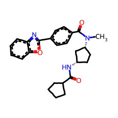 CN(C(=O)c1ccc(-c2nc3ccccc3o2)cc1)[C@@H]1CC[C@H](NC(=O)C2CCCC2)C1